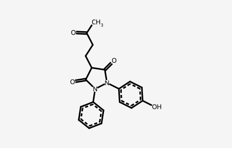 CC(=O)CCC1C(=O)N(c2ccccc2)N(c2ccc(O)cc2)C1=O